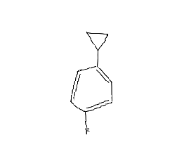 Fc1ccc(C2CC2)cc1